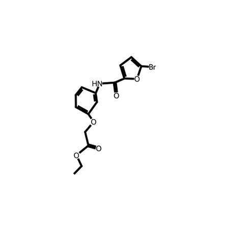 CCOC(=O)COc1cccc(NC(=O)c2ccc(Br)o2)c1